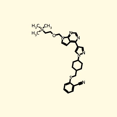 C[Si](C)(C)CCOCn1ccc2c(-c3cnn(C4CCC(CSc5ccccc5C#N)CC4)c3)ncnc21